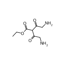 CCOC(=O)C(C(=O)CN)C(=O)CN